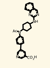 CC(=O)N(c1ccc(-c2cncc(C(=O)O)c2)cc1)C1CCC(Nc2ncc3ccccc3n2)CC1